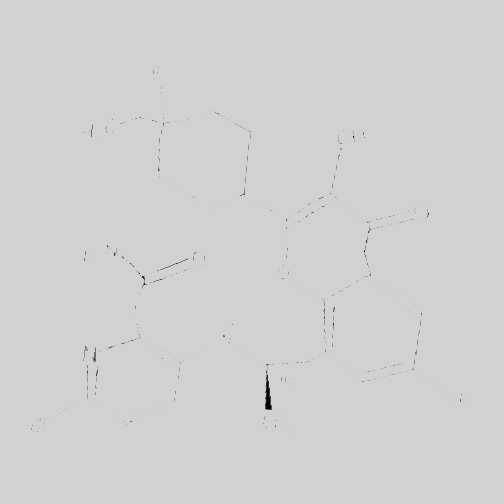 Cc1cc([C@@H](C)Nc2ccc(Cl)nc2C(N)=O)c2oc(C3CCC(C)(F)CC3)c(C)c(=O)c2c1